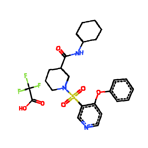 O=C(NC1CCCCC1)C1CCCN(S(=O)(=O)c2cnccc2Oc2ccccc2)C1.O=C(O)C(F)(F)F